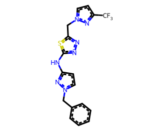 FC(F)(F)c1ccn(Cc2nnc(Nc3ccn(Cc4ccccc4)n3)s2)n1